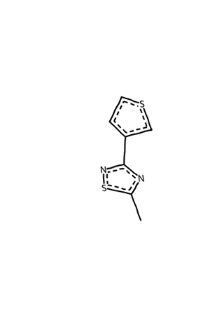 Cc1nc(-c2ccsc2)ns1